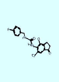 O=C(NCc1ccc(F)cc1)Nc1c(Cl)cc2c(c1Cl)CCC2=O